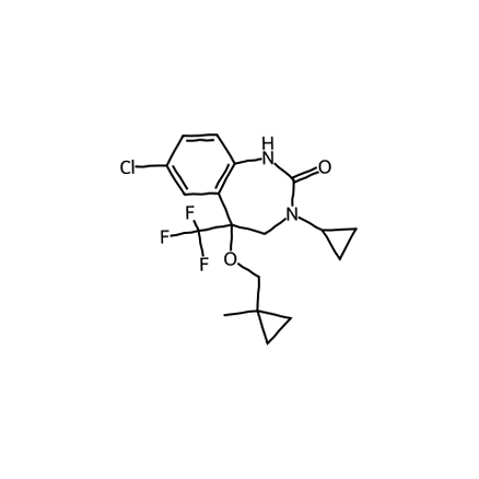 CC1(COC2(C(F)(F)F)CN(C3CC3)C(=O)Nc3ccc(Cl)cc32)CC1